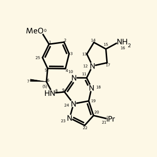 COc1cccc([C@H](C)Nc2nc(N3CCC(N)C3)nc3c(C(C)C)cnn23)c1